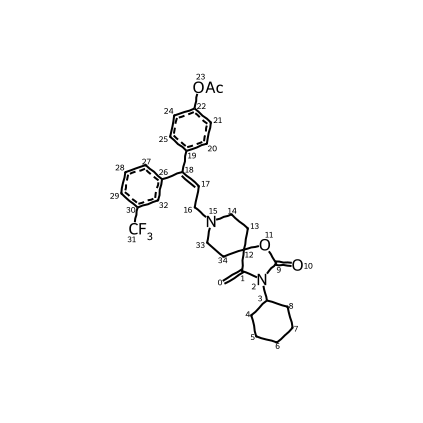 C=C1N(C2CCCCC2)C(=O)OC12CCN(CC=C(c1ccc(OC(C)=O)cc1)c1cccc(C(F)(F)F)c1)CC2